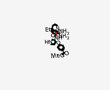 CCC12CCCN(CC(F)CC1)C(C(C(=O)NC1CNCCC1O[C@H]1CC[C@H](C(=O)OC)CC1)C(N)N)C2